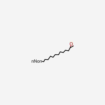 CCCCCCCCCCCCCCCCCCCCC1CO1